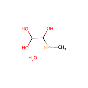 CPC(O)C(O)O.O